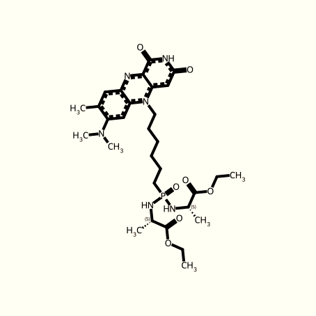 CCOC(=O)[C@H](C)NP(=O)(CCCCCCn1c2cc(=O)[nH]c(=O)c-2nc2cc(C)c(N(C)C)cc21)N[C@@H](C)C(=O)OCC